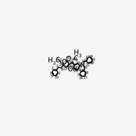 CCC[C@@]1(CCc2ccccc2)CC(O)=C([C@H](CC)c2cccc(N(Cc3ccccc3)Cc3ccccc3)c2)C(=O)O1